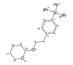 CC(C)[Si]([18F])(c1ccc(CCOC2CCCCO2)cc1)C(C)C